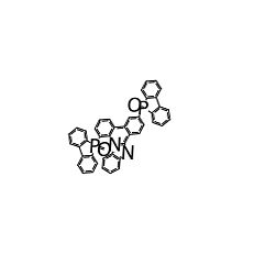 O=P1(c2ccc3c(c2)c2cccc(P4(=O)c5ccccc5-c5ccccc54)c2n2c4ccccc4nc32)c2ccccc2-c2ccccc21